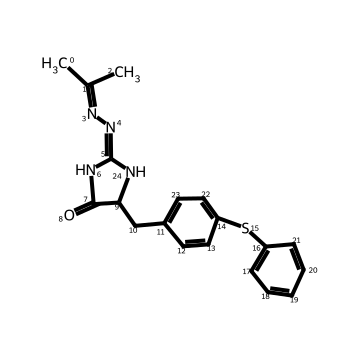 CC(C)=N/N=C1\NC(=O)C(Cc2ccc(Sc3ccccc3)cc2)N1